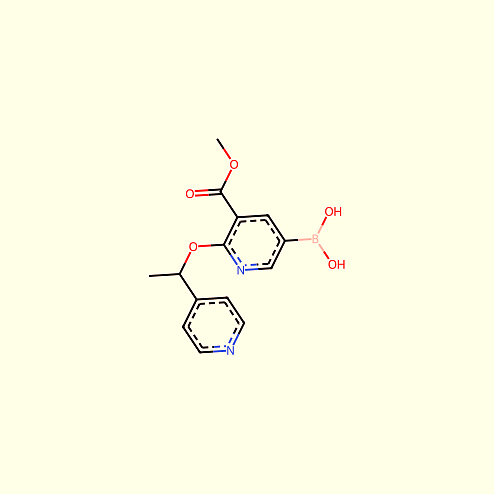 COC(=O)c1cc(B(O)O)cnc1OC(C)c1ccncc1